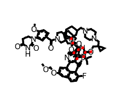 COCOc1cc(-c2ncc3c(N4CC5CCC(C4)N5C(=O)OC(C)(C)C)nc(OCC4(CN5CCN(CC6CCC7(CC6)CCN(C(=O)c6ccc(OC)c(N8CCC(=O)NC8=O)c6)CC7)CC5)CC4)nc3c2F)c2c(C#C[Si](C(C)C)(C(C)C)C(C)C)c(F)ccc2c1